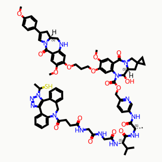 COc1ccc(C2=CN3C(=O)c4cc(OC)c(OCCCOc5cc6c(cc5OC)C(=O)N5CC7(CC7)C[C@H]5C(O)N6C(=O)OCc5ccc(NC(=O)[C@H](C)NC(=O)[C@@H](NC(=O)CNC(=O)CNC(=O)CCC(=O)N6Cc7ccccc7-c7c(nnn7C(C)S)-c7ccccc76)C(C)C)cn5)cc4NC[C@@H]3C2)cc1